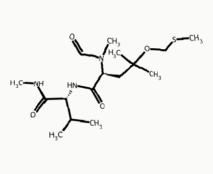 CNC(=O)[C@H](NC(=O)[C@H](CC(C)(C)OCSC)N(C)C=O)C(C)C